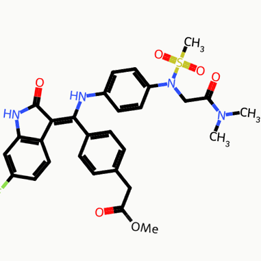 COC(=O)Cc1ccc(/C(Nc2ccc(N(CC(=O)N(C)C)S(C)(=O)=O)cc2)=C2/C(=O)Nc3cc(F)ccc32)cc1